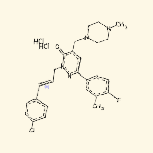 Cc1cc(-c2cc(CN3CCN(C)CC3)c(=O)n(C/C=C/c3ccc(Cl)cc3)n2)ccc1F.Cl.Cl